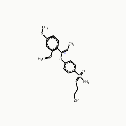 C=Nc1cc(OC)ccc1/C(=C\C)Oc1ccc(S(N)(=O)=NCCO)cc1